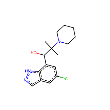 CC(C)(C(O)c1cc(Cl)cc2cn[nH]c12)N1CCCCC1